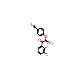 C=C(Oc1ccc(C#N)cc1)C(=O)c1cccc(Cl)c1F